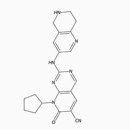 N#Cc1cc2cnc(Nc3cnc4c(c3)CNCC4)nc2n(C2CCCC2)c1=O